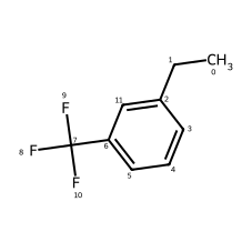 CCc1cccc(C(F)(F)F)c1